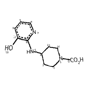 O=C(O)N1CCC(Nc2ncccc2O)CC1